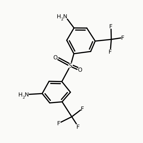 Nc1cc(C(F)(F)F)cc(S(=O)(=O)c2cc(N)cc(C(F)(F)F)c2)c1